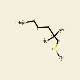 CCCCCCCCCCC(C#N)(CCC)CSC#N